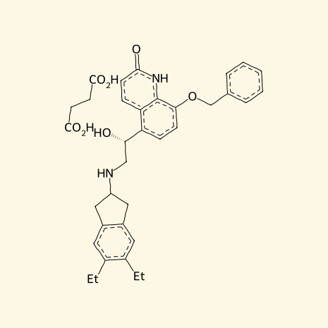 CCc1cc2c(cc1CC)CC(NC[C@H](O)c1ccc(OCc3ccccc3)c3[nH]c(=O)ccc13)C2.O=C(O)CCC(=O)O